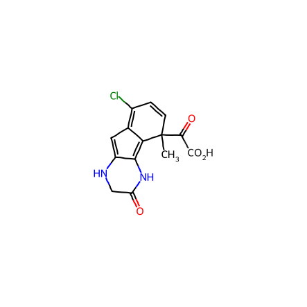 CC1(C(=O)C(=O)O)C=CC(Cl)=C2C=C3NCC(=O)NC3=C21